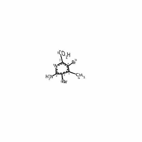 Cc1c(Br)c(N)nc(C(=O)O)c1Br